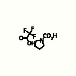 O=C(O)C(F)(F)F.O=C(O)N1CCCC1